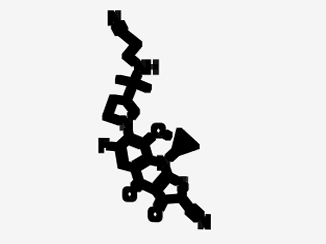 COc1c(N2CCC(C(C)(C)NCCC#N)C2)c(F)cc2c(=O)c3c(n(C4CC4)c12)SC(C#N)C3=O